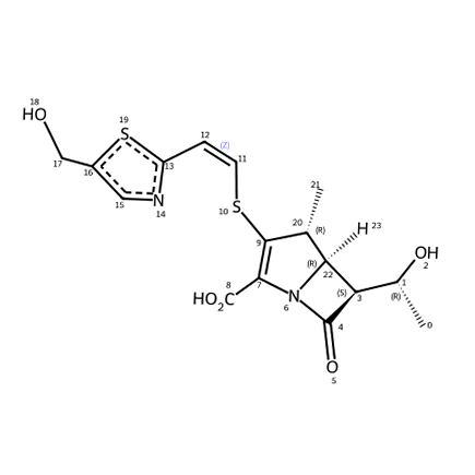 C[C@@H](O)[C@H]1C(=O)N2C(C(=O)O)=C(S/C=C\c3ncc(CO)s3)[C@H](C)[C@@H]12